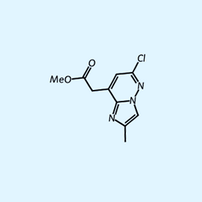 COC(=O)Cc1cc(Cl)nn2cc(C)nc12